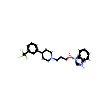 FC(F)(F)c1cccc(C2CCN(CCCOn3cnc4ccccc43)CC2)c1